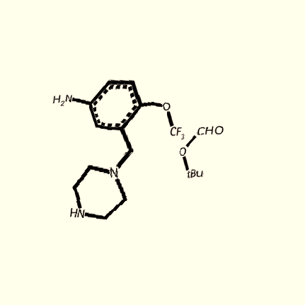 CC(C)(C)OC=O.Nc1ccc(OC(F)(F)F)c(CN2CCNCC2)c1